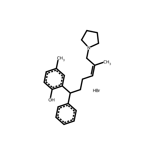 Br.CC(=CCCC(c1ccccc1)c1cc(C)ccc1O)CN1CCCC1